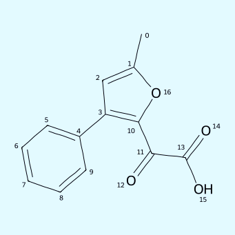 Cc1cc(-c2ccccc2)c(C(=O)C(=O)O)o1